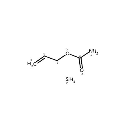 C=CCOC(N)=O.[SiH4]